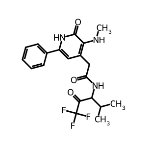 CNc1c(CC(=O)NC(C(=O)C(F)(F)F)C(C)C)cc(-c2ccccc2)[nH]c1=O